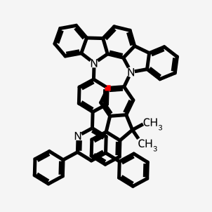 CC1(C)c2ccccc2-c2ccc(-n3c4ccccc4c4ccc5c6ccccc6n(-c6ccc(-c7cc(-c8ccccc8)cc(-c8ccccc8)n7)cc6)c5c43)cc21